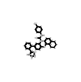 O=C(Nc1ccc(Cl)cc1)Nc1cc(-c2ccccc2-c2nnn[nH]2)ccc1Oc1cccc2c1CCCC2